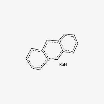 [RbH].c1ccc2cc3ccccc3cc2c1